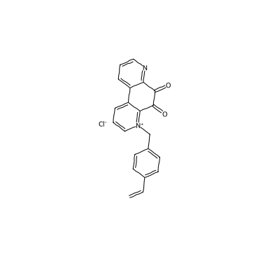 C=Cc1ccc(C[n+]2cccc3c2C(=O)C(=O)c2ncccc2-3)cc1.[Cl-]